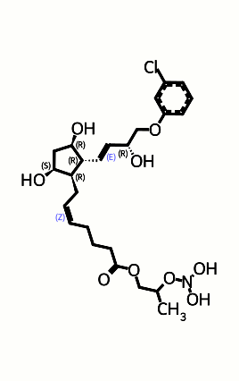 CC(COC(=O)CCC/C=C\C[C@@H]1[C@@H](/C=C/[C@@H](O)COc2cccc(Cl)c2)[C@H](O)C[C@@H]1O)ON(O)O